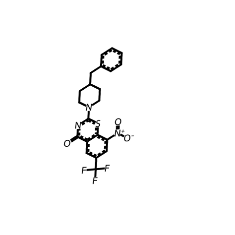 O=c1nc(N2CCC(Cc3ccccc3)CC2)sc2c([N+](=O)[O-])cc(C(F)(F)F)cc12